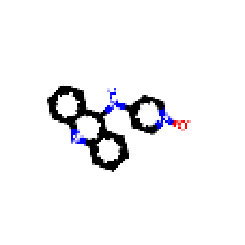 [O-][n+]1ccc(Nc2c3ccccc3nc3ccccc23)cc1